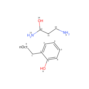 CCCCCCCCCc1ccccc1O.NCCC(N)O